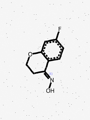 O/N=C1\CCOc2cc(F)ccc21